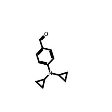 O=Cc1ccc(N(C2CC2)C2CC2)cc1